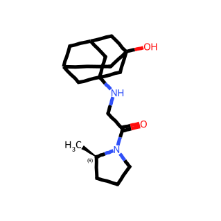 C[C@@H]1CCCN1C(=O)CNC12CC3CC(CC(O)(C3)C1)C2